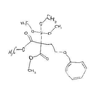 COC(=O)C(CCOc1ccccc1)(C(=O)OC)[Si](OC)(OC)OC